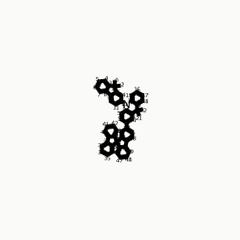 CC1(C)c2ccccc2-c2ccc(N3c4ccccc4C(C)(C)c4cc(-c5ccc6c(c5)C5(c7ccccc7-c7ccccc75)c5ccccc5-6)ccc43)cc21